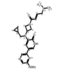 CNc1cncc(-c2c[nH]c(=O)c(N(CC3CC3)C3CN(C(=O)/C=C/CN(C)C)C3)c2)n1